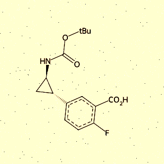 CC(C)(C)OC(=O)N[C@@H]1C[C@H]1c1ccc(F)c(C(=O)O)c1